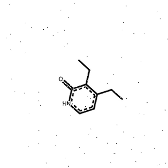 CCc1cc[nH]c(=O)c1CC